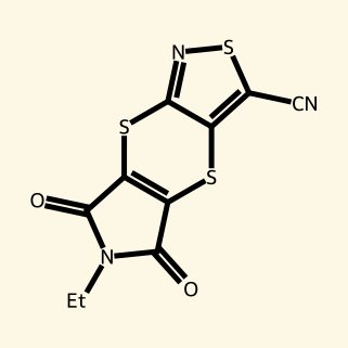 CCn1c(=O)c2sc3nsc(C#N)c3sc=2c1=O